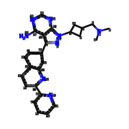 CN(C)CC1CC(n2nc(-c3ccc4ccc(-c5ccccn5)nc4c3)c3c(N)ncnc32)C1